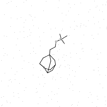 C[Si](C)(C)OCCC12CC3CCC(CC(C3)C1)C2